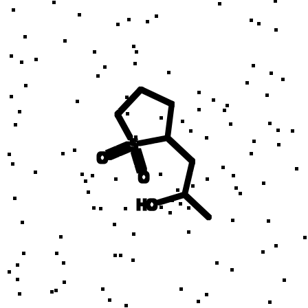 CC(O)CC1CCCS1(=O)=O